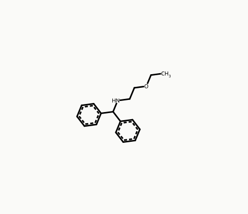 CCOCCNC(c1ccccc1)c1ccccc1